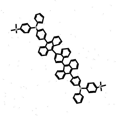 C[Si](C)(C)c1ccc(N(c2ccccc2)c2ccc(-c3c4ccccc4c(-c4ccc(-c5c6ccccc6c(-c6ccc(N(c7ccccc7)c7ccc([Si](C)(C)C)cc7)cc6)c6ccccc56)c5ccccc45)c4ccccc34)cc2)cc1